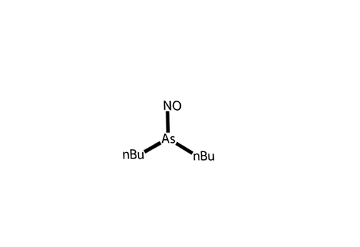 CCCC[As](CCCC)N=O